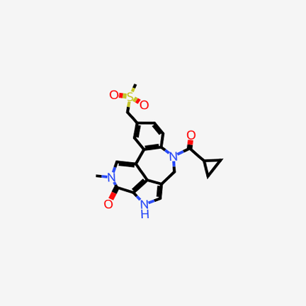 Cn1cc2c3c(c[nH]c3c1=O)CN(C(=O)C1CC1)c1ccc(CS(C)(=O)=O)cc1-2